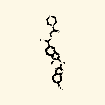 Cn1c(Nc2nc3ccc(C(F)(F)F)cc3s2)nc2cc(C(O)NCC(=O)N3CCOCC3)ccc21